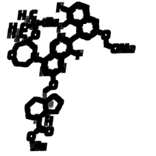 COCOc1cc(-c2ncc3c(N4CCOC[C@@](C)(O[Si](C)(C)C(C)(C)C)C4)nc(OC[C@]45CCC[C@H]4N(C(=O)OC(C)(C)C)CCC5)nc3c2F)c2c(F)c(F)ccc2c1